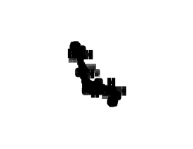 COCCN(CCCNC(=O)[C@@H](N)CCCCNC(=N)NC(=O)c1ccccc1)CCCNC(=O)[C@@H](N)CCCCNC(=N)NC(=O)c1ccccc1